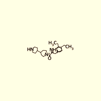 CCc1ccc(C[C@@H](N)C(=O)[N+]2CCC(C3CCNCC3)CC2)cc1CC